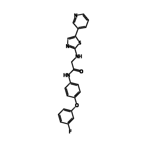 O=C(CNc1ncc(-c2cccnc2)s1)Nc1ccc(Oc2cccc(F)c2)cc1